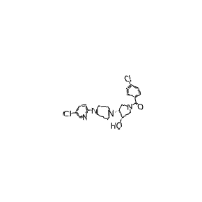 O=C(c1ccc(Cl)cc1)N1C[C@@H](O)[C@H](N2CCN(c3ccc(Cl)cn3)CC2)C1